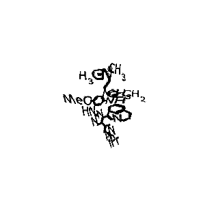 C=CC(=O)Nc1cc(Nc2ncc(-c3cnn(C(C)C)c3)c(-c3cn4c5c(cccc35)CCC4)n2)c(OC)cc1N(C)CCN(C)C